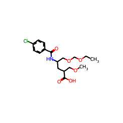 CCOCOCC(CC(COC)C(=O)O)NC(=O)c1ccc(Cl)cc1